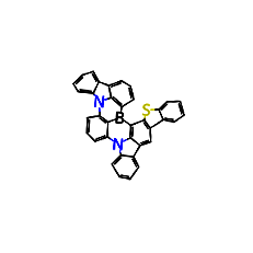 c1cc2c3c(c1)-n1c4ccccc4c4cc5c(sc6ccccc65)c(c41)B3c1cccc3c4ccccc4n-2c13